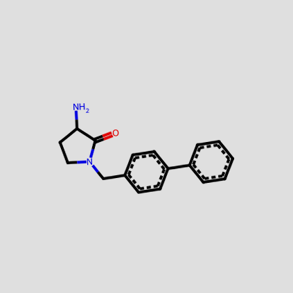 NC1CCN(Cc2ccc(-c3ccccc3)cc2)C1=O